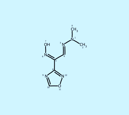 CN(C)N=CC(=NO)c1ncon1